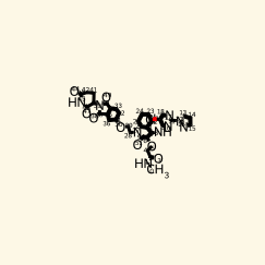 CNC(=O)COc1c(Nc2nc(-n3cccn3)ncc2Cl)c2ccccc2n(CCOc2ccc3c(c2)C(=O)N(C2CCC(=O)NC2=O)C3=O)c1=O